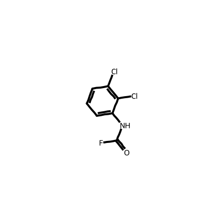 O=C(F)Nc1cccc(Cl)c1Cl